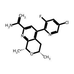 C=C(N)c1cc(-c2ncc(Cl)cc2F)c2c(n1)[C@@H](C)O[C@@H](C)C2